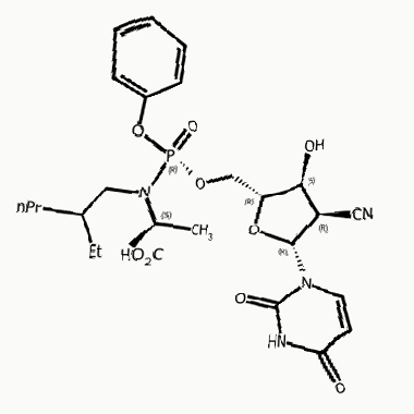 CCCC(CC)CN([C@@H](C)C(=O)O)[P@@](=O)(OC[C@H]1O[C@@H](n2ccc(=O)[nH]c2=O)[C@H](C#N)[C@@H]1O)Oc1ccccc1